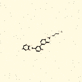 CCN(CC)CCCNc1ncc2cc(-c3cc(-c4nc5ccc(C(F)(F)F)cc5[nH]4)ccc3C)ccc2n1